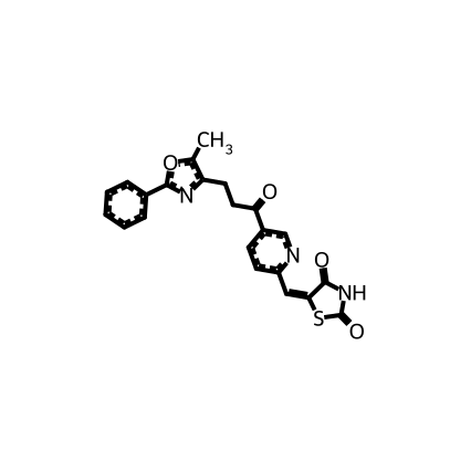 Cc1oc(-c2ccccc2)nc1CCC(=O)c1ccc(/C=C2/SC(=O)NC2=O)nc1